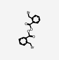 O=C(OOC(=O)c1ccccc1CBr)c1ccccc1CBr